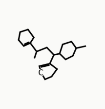 CC1CCC(C(CC(C)C2=CCCCC2)C2=CCCCC2)CC1